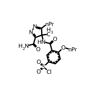 CCCOc1ccc(S(=O)(=O)Cl)cc1C(=O)NC1(C)C(CCC)=NN=C1C(N)=O